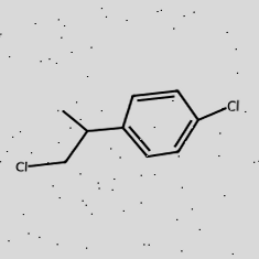 [CH2]C(CCl)c1ccc(Cl)cc1